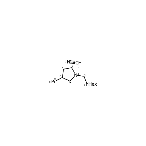 C#N.CCCCCCCN1CCC(CCC)C1